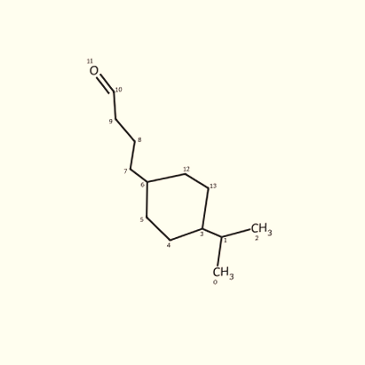 CC(C)C1CCC(CCCC=O)CC1